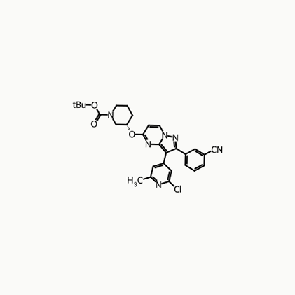 Cc1cc(-c2c(-c3cccc(C#N)c3)nn3ccc(O[C@H]4CCCN(C(=O)OC(C)(C)C)C4)nc23)cc(Cl)n1